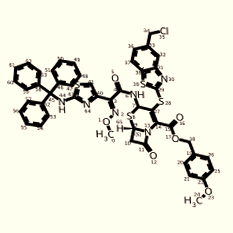 CON=C(C(=O)NC1S[C@H]2CC(=O)N2C(C(=O)OCc2ccc(OC)cc2)=C1Sc1nc2cc(CCl)ccc2s1)c1csc(NC(c2ccccc2)(c2ccccc2)c2ccccc2)n1